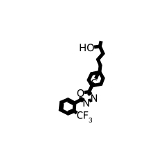 CC(O)CCCC12CCC(c3nnc(-c4ccccc4C(F)(F)F)o3)(CC1)CC2